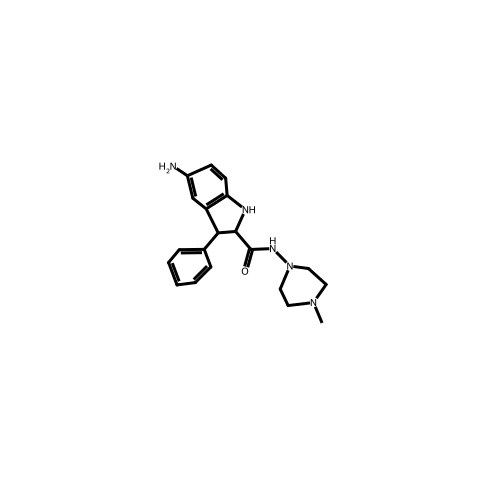 CN1CCN(NC(=O)C2Nc3ccc(N)cc3C2c2ccccc2)CC1